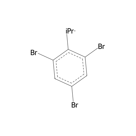 C[C](C)c1c(Br)cc(Br)cc1Br